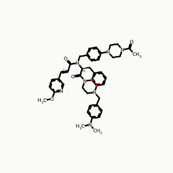 COc1ccc(/C=C/C(=O)N(Cc2ccc(N3CCN(C(C)=O)CC3)cc2)[C@@H](Cc2ccccc2)C(=O)N2CCN(Cc3ccc(N(C)C)cc3)CC2)cn1